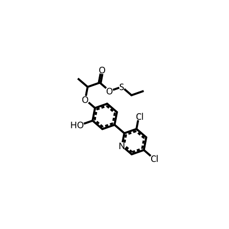 CCSOC(=O)C(C)Oc1ccc(-c2ncc(Cl)cc2Cl)cc1O